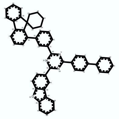 c1ccc(-c2ccc(-c3nc(-c4cccc(-c5cccc6c5C5(CCCCC5)c5ccccc5-6)c4)nc(-c4ccc5oc6ccccc6c5c4)n3)cc2)cc1